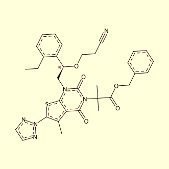 CCc1ccccc1[C@H](Cn1c(=O)n(C(C)(C)C(=O)OCc2ccccc2)c(=O)c2c(C)c(-n3nccn3)sc21)OCCC#N